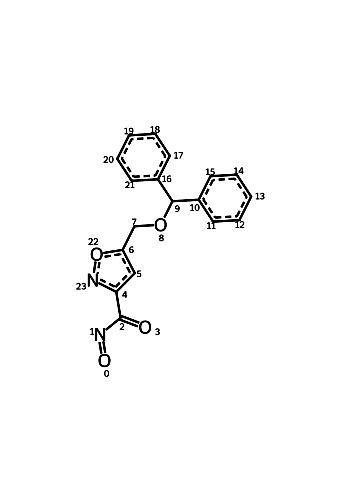 O=NC(=O)c1cc(COC(c2ccccc2)c2ccccc2)on1